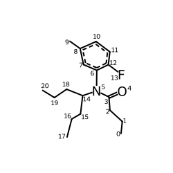 CCCC(=O)N(c1cc(C)ccc1F)C(CCC)CCC